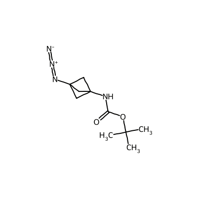 CC(C)(C)OC(=O)NC12CC(N=[N+]=[N-])(C1)C2